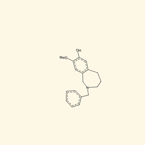 COc1cc2c(cc1O)CCCN(Cc1ccccc1)C2